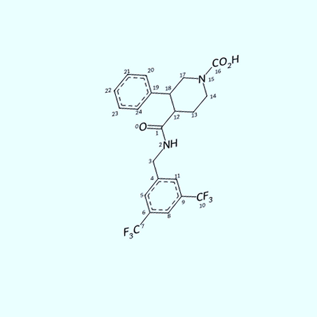 O=C(NCc1cc(C(F)(F)F)cc(C(F)(F)F)c1)C1CCN(C(=O)O)CC1c1ccccc1